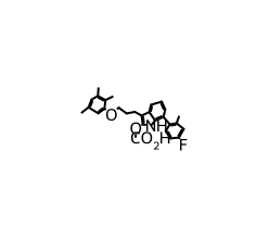 Cc1cc(C)c(C)c(OCCCc2c(OC(=O)O)[nH]c3c(-c4ccc(F)cc4C)cccc23)c1